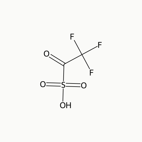 O=C(C(F)(F)F)S(=O)(=O)O